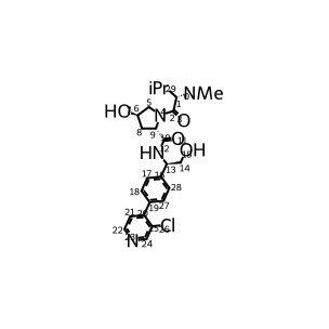 CN[C@H](C(=O)N1C[C@H](O)C[C@H]1C(=O)N[C@@H](CO)c1ccc(-c2ccncc2Cl)cc1)C(C)C